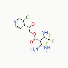 CN/C(N)=C(\C(=N)C(F)(F)F)C(=O)OCC(=O)c1ccncc1Cl